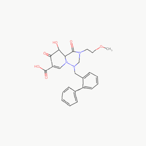 COCCN1CN(Cc2ccccc2-c2ccccc2)N2C=C(C(=O)O)C(=O)C(O)C2C1=O